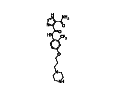 NC(=O)c1[nH]cnc1C(=O)Nc1ccc(OCCCN2CCNCC2)cc1C(F)(F)F